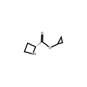 O=C(OC1CC1)[C@H]1CCN1